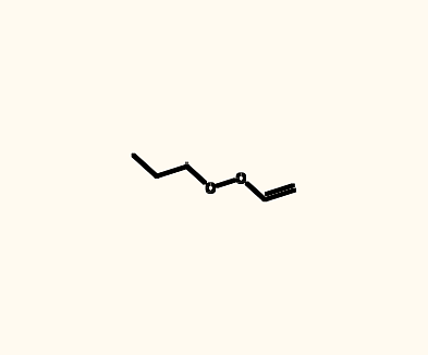 C=COO[CH]CC